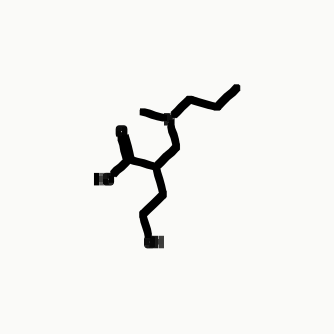 CCCN(C)CC(CCO)C(=O)O